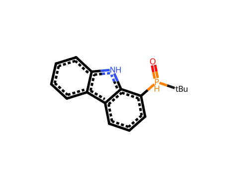 CC(C)(C)[PH](=O)c1cccc2c1[nH]c1ccccc12